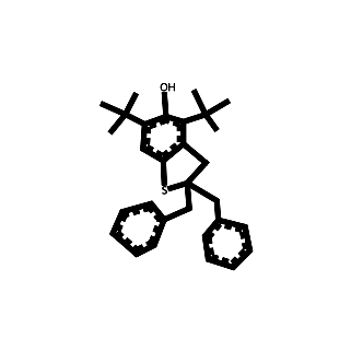 CC(C)(C)c1cc2c(c(C(C)(C)C)c1O)CC(Cc1ccccc1)(Cc1ccccc1)S2